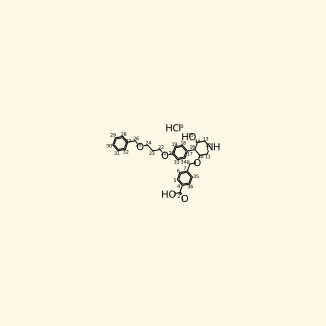 Cl.O=C(O)c1ccc(COC2CNCC(O)C2c2ccc(OCCCOCc3ccccc3)cc2)cc1